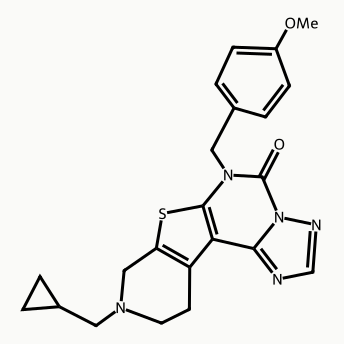 COc1ccc(Cn2c(=O)n3ncnc3c3c4c(sc32)CN(CC2CC2)CC4)cc1